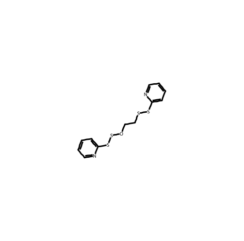 c1ccc(SSCCOSSc2ccccn2)nc1